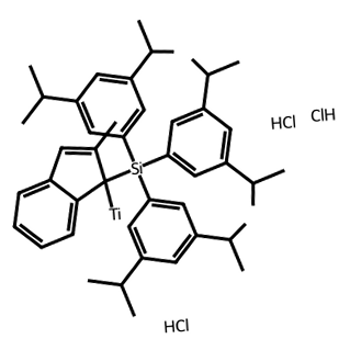 CC1=Cc2ccccc2[C]1([Ti])[Si](c1cc(C(C)C)cc(C(C)C)c1)(c1cc(C(C)C)cc(C(C)C)c1)c1cc(C(C)C)cc(C(C)C)c1.Cl.Cl.Cl